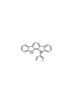 C=C/C(=C\C)n1c2ccccc2c2ccc3c4ccccc4oc3c21